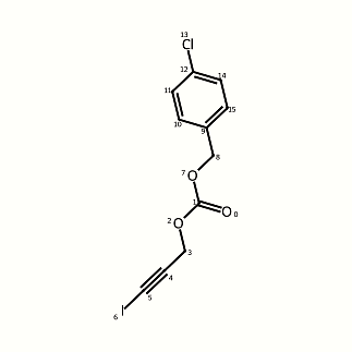 O=C(OCC#CI)OCc1ccc(Cl)cc1